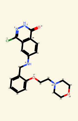 O=c1[nH]nc(Cl)c2cc(NCc3ccccc3OCCN3CCOCC3)ccc12